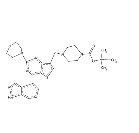 CC(C)(C)OC(=O)N1CCN(Cc2csc3c(-c4cccc5[nH]ncc45)nc(N4CCOCC4)nc23)CC1